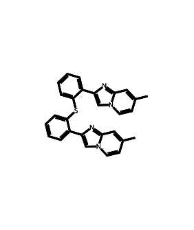 Cc1ccn2cc(-c3ccccc3Sc3ccccc3-c3cn4ccc(C)cc4n3)nc2c1